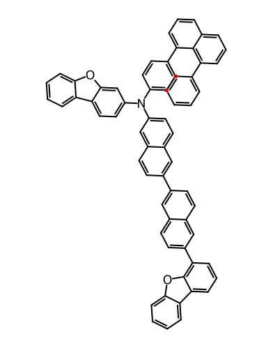 c1ccc(-c2cccc3cccc(-c4ccc(N(c5ccc6cc(-c7ccc8cc(-c9cccc%10c9oc9ccccc9%10)ccc8c7)ccc6c5)c5ccc6c(c5)oc5ccccc56)cc4)c23)cc1